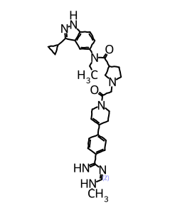 CCN(C(=O)C1CCN(CC(=O)N2CC=C(c3ccc(C(=N)/N=C\NC)cc3)CC2)C1)c1ccc2[nH]nc(C3CC3)c2c1